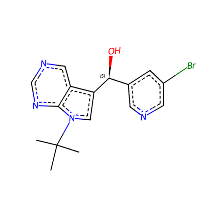 CC(C)(C)n1cc([C@@H](O)c2cncc(Br)c2)c2cncnc21